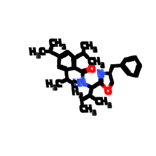 CCC(C)C(NC(=O)c1c(C(C)C)cc(C(C)C)cc1C(C)C)C1=N[C@@H](Cc2ccccc2)CO1